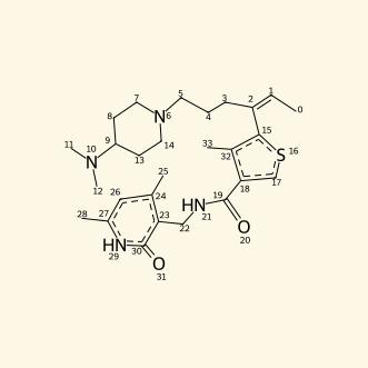 CC=C(CCCN1CCC(N(C)C)CC1)c1scc(C(=O)NCc2c(C)cc(C)[nH]c2=O)c1C